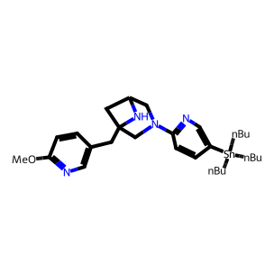 CCC[CH2][Sn]([CH2]CCC)([CH2]CCC)[c]1ccc(N2CC3CC(Cc4ccc(OC)nc4)(C2)N3)nc1